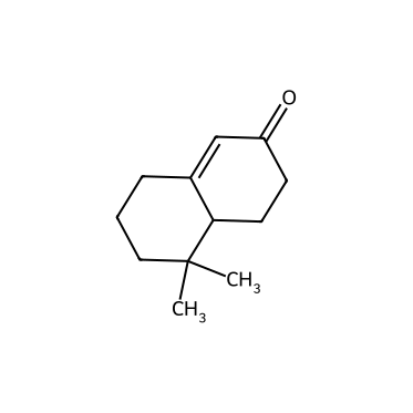 CC1(C)CCCC2=CC(=O)CCC21